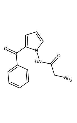 NCC(=O)Nn1cccc1C(=O)c1ccccc1